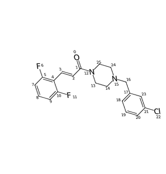 O=C(C=Cc1c(F)cccc1F)N1CCN(Cc2cccc(Cl)c2)CC1